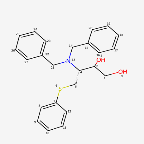 OCC(O)[C@H](CSc1ccccc1)N(Cc1ccccc1)Cc1ccccc1